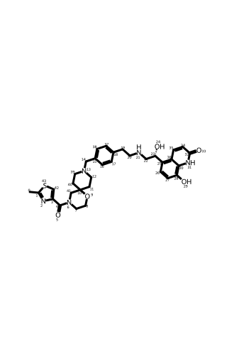 Cc1nc(C(=O)N2CCOC3(CCN(Cc4ccc(CCNC[C@H](O)c5ccc(O)c6[nH]c(=O)ccc56)cc4)CC3)C2)cs1